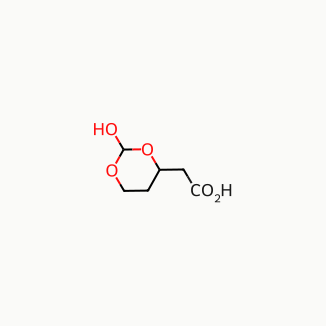 O=C(O)CC1CCOC(O)O1